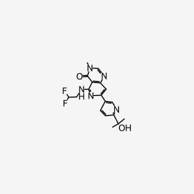 Cn1cnc2cc(-c3ccc(C(C)(C)O)nc3)nc(NCC(F)F)c2c1=O